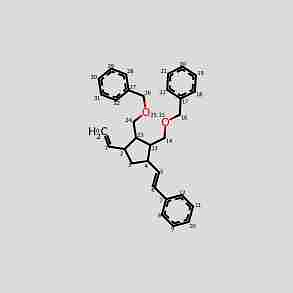 C=CC1CC(C=Cc2ccccc2)C(COCc2ccccc2)C1COCc1ccccc1